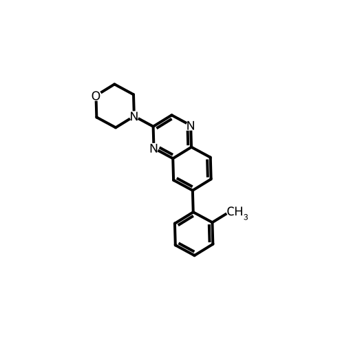 Cc1ccccc1-c1ccc2ncc(N3CCOCC3)nc2c1